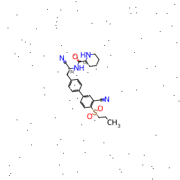 CCCS(=O)(=O)c1ccc(-c2ccc(C[C@@H](C#N)NC(=O)[C@@H]3CCCCN3)cc2)cc1C#N